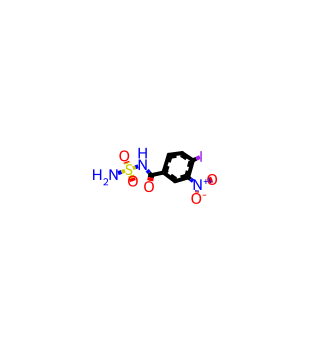 NS(=O)(=O)NC(=O)c1ccc(I)c([N+](=O)[O-])c1